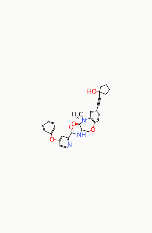 CN1C(=O)C(NC(=O)c2cc(Oc3ccccc3)ccn2)COc2ccc(C#CC3(O)CCCC3)cc21